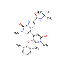 Cc1cccc(C)c1Oc1cn(C)c(=O)cc1-c1cn(C)c(=O)c2[nH]c(C(=O)NC(C)(C)C)cc12